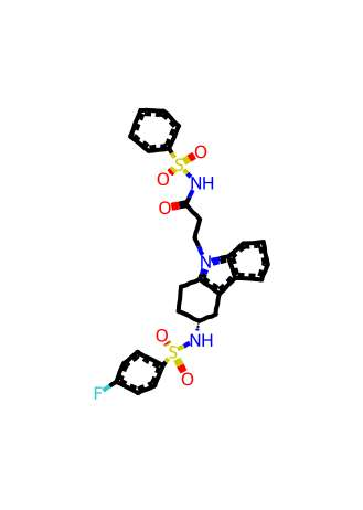 O=C(CCn1c2c(c3ccccc31)C[C@H](NS(=O)(=O)c1ccc(F)cc1)CC2)NS(=O)(=O)c1ccccc1